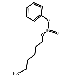 CCCCCCO[PH](=O)Oc1ccccc1